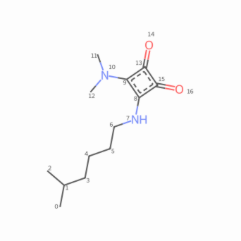 CC(C)CCCCNc1c(N(C)C)c(=O)c1=O